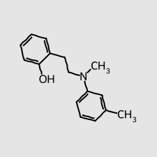 Cc1cccc(N(C)CCc2ccccc2O)c1